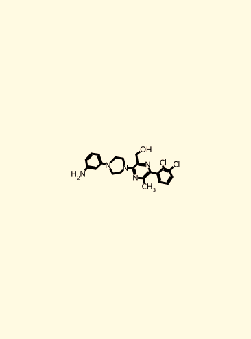 Cc1nc(N2CCN(c3cccc(N)c3)CC2)c(CO)nc1-c1cccc(Cl)c1Cl